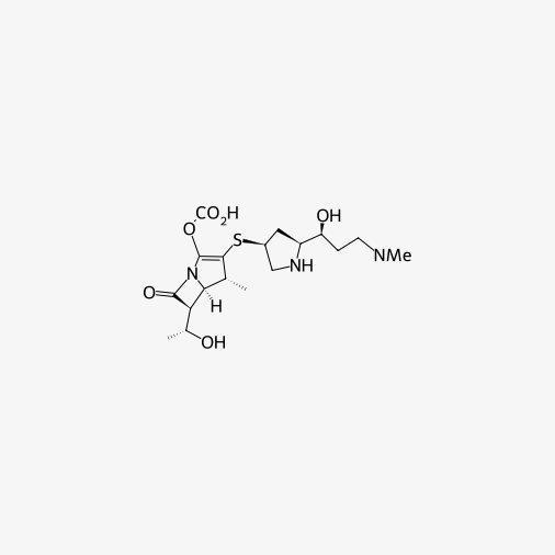 CNCC[C@H](O)[C@@H]1C[C@H](SC2=C(OC(=O)O)N3C(=O)[C@H]([C@@H](C)O)[C@@H]3[C@H]2C)CN1